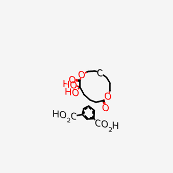 O=C(O)c1cccc(C(=O)O)c1.O=C1CCCC(O)(O)C(=O)OCCCCCCO1